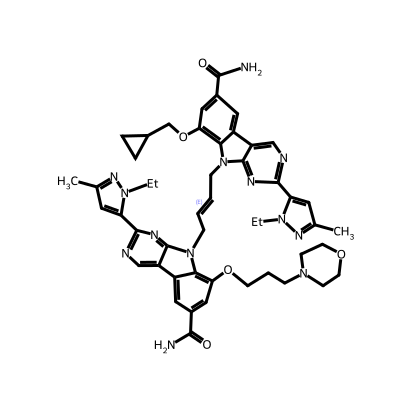 CCn1nc(C)cc1-c1ncc2c3cc(C(N)=O)cc(OCCCN4CCOCC4)c3n(C/C=C/Cn3c4nc(-c5cc(C)nn5CC)ncc4c4cc(C(N)=O)cc(OCC5CC5)c43)c2n1